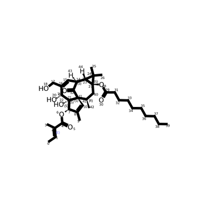 C/C=C(\C)C(=O)O[C@H]1C(C)=C[C@]23C(=O)[C@@H](C=C(CO)[C@@H](O)[C@]12O)[C@@H]1C(C)(C)[C@]1(OC(=O)CCCCCCCCC)C[C@H]3C